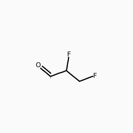 O=[C]C(F)CF